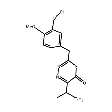 CCOc1cc(Cc2nnc(C(C)N)c(=O)[nH]2)ccc1OC